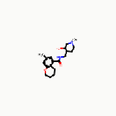 CCCCN1CCC(CNC(=O)c2cc(C)cc3c2CCCCO3)C(O)C1